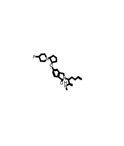 C=CCCC(C(=C)NC)N1Cc2cc(OC3CCCC3N3CCC(F)CC3)ccc2C1=O